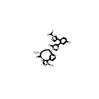 C[C@@H]1CCC[C@H](n2cnc(-c3cc(Cl)ccc3-c3cnn(C(F)F)c3)cc2=O)c2cc(ccn2)C2=[N+](C)N=CC2NC1=O